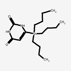 CCC[CH2][Sn]([CH2]CCC)([CH2]CCC)[c]1cc(=O)[nH]c(=O)[nH]1